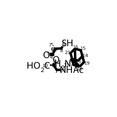 CC(=O)NC[C@H](OC(=O)[C@H](C)CS)C(=O)O.NC12CC3CC(CC(C3)C1)C2